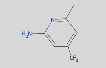 Cc1[c]c(C(F)(F)F)cc(N)n1